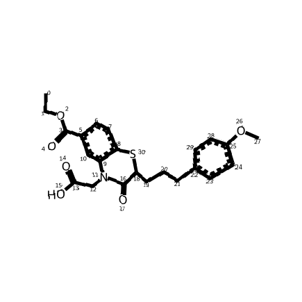 CCOC(=O)c1ccc2c(c1)N(CC(=O)O)C(=O)C(CCCc1ccc(OC)cc1)S2